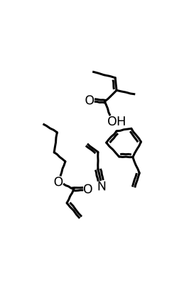 C=CC#N.C=CC(=O)OCCCC.C=Cc1ccccc1.CC=C(C)C(=O)O